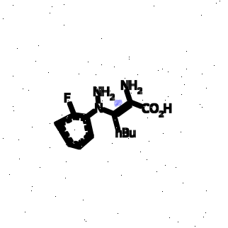 CCCC/C(=C(/N)C(=O)O)N(N)c1ccccc1F